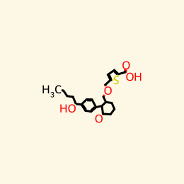 CCCCC(O)c1ccc(C2C(=O)CCCC2COCc2ccc(C(=O)O)s2)cc1